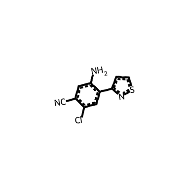 N#Cc1cc(N)c(-c2ccsn2)cc1Cl